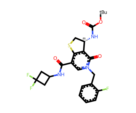 CC(C)(C)OC(=O)N[C@H]1CSc2c(C(=O)NC3CC(F)(F)C3)cn(Cc3ccccc3F)c(=O)c21